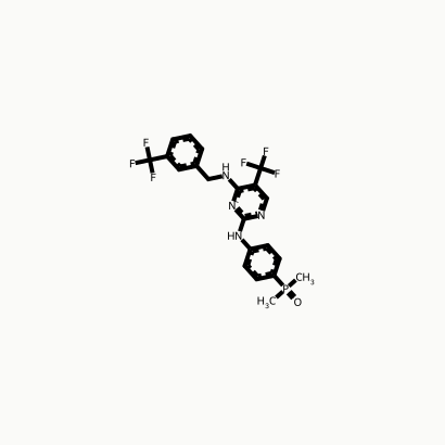 CP(C)(=O)c1ccc(Nc2ncc(C(F)(F)F)c(NCc3cccc(C(F)(F)F)c3)n2)cc1